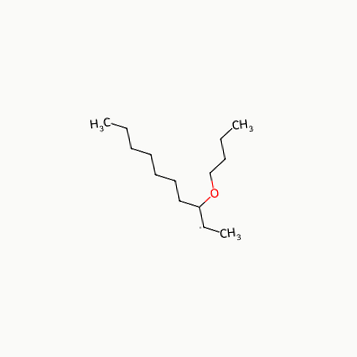 C[CH]C(CCCCCCC)OCCCC